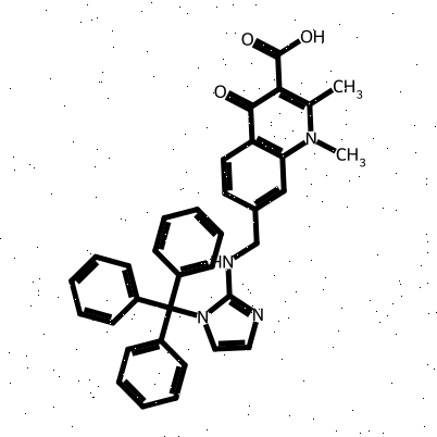 Cc1c(C(=O)O)c(=O)c2ccc(CNc3nccn3C(c3ccccc3)(c3ccccc3)c3ccccc3)cc2n1C